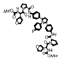 COC(=O)NC(C(=O)N1CCC[C@H]1C(=O)Nc1ccc([C@H]2CC[C@H](c3ccc(NC(=O)[C@@H]4CCCN4C(=O)C(NC(=O)OC)[C@H]4CCOC4)cc3)N2c2ccc(F)cc2)cc1)[C@H]1CCOC1